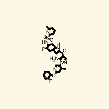 Cc1cccc(S(=O)(=O)Nc2cc3[nH]c(C(=O)c4cnn(-c5cnc(Oc6ccccc6F)cc5C)c4N)cc3cc2F)n1